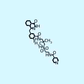 CC(C)(CNC(=O)c1cc(Cc2n[nH]c(=O)c3ccccc23)ccc1F)CNS(=O)(=O)CCNC(=O)c1ccncc1